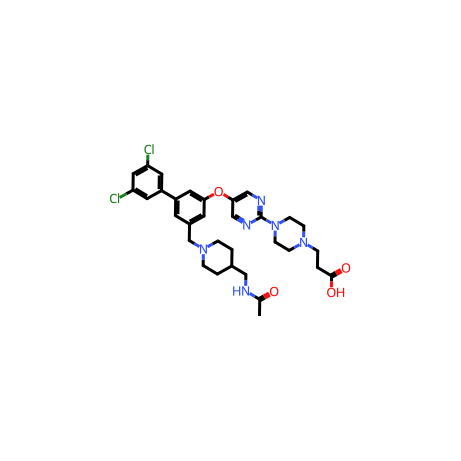 CC(=O)NCC1CCN(Cc2cc(Oc3cnc(N4CCN(CCC(=O)O)CC4)nc3)cc(-c3cc(Cl)cc(Cl)c3)c2)CC1